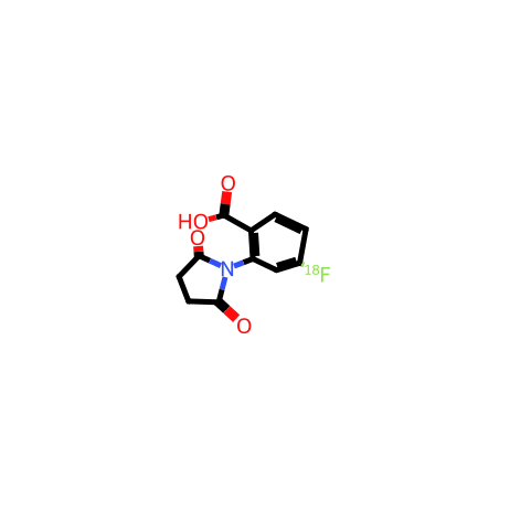 O=C(O)c1ccc([18F])cc1N1C(=O)CCC1=O